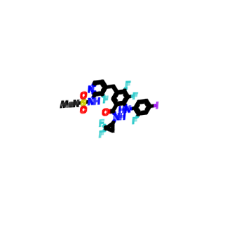 CNS(=O)(=O)Nc1nccc(Cc2cc(C(=O)NC3CC3(F)F)c(Nc3ccc(I)cc3F)c(F)c2F)c1F